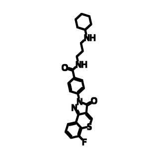 O=C(NCCCNC1CCCCC1)c1ccc(-n2nc3c4cccc(F)c4scc-3c2=O)cc1